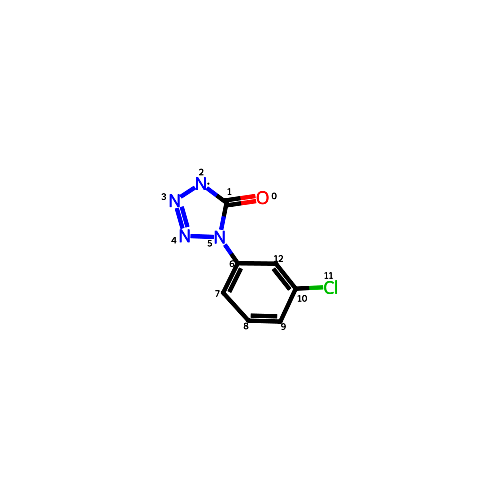 O=C1[N]N=NN1c1cccc(Cl)c1